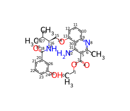 CCOC(=O)c1c(C)nc2cccc(OC[C@@H](NC(=O)c3cccc(O)c3)C(C)C)c2c1N